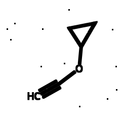 C#COC1CC1